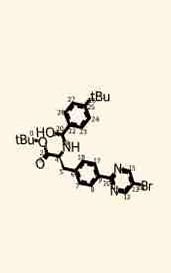 CC(C)(C)OC(=O)[C@H](Cc1ccc(-c2ncc(Br)cn2)cc1)NC(O)c1ccc(C(C)(C)C)cc1